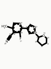 Cc1cnc(-c2cnn(C3CCCCO3)c2)c(F)c1C#N